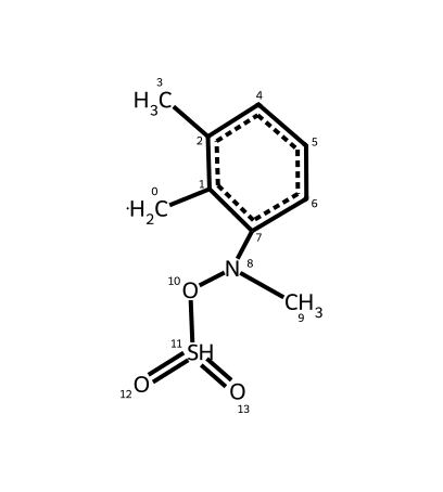 [CH2]c1c(C)cccc1N(C)O[SH](=O)=O